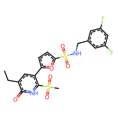 CCc1cc(-c2ccc(S(=O)(=O)NCc3cc(F)cc(F)c3)o2)c(S(C)(=O)=O)[nH]c1=O